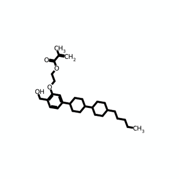 C=C(C)C(=O)OCCOc1cc(C2CCC(C3CCC(CCCCC)CC3)CC2)ccc1CO